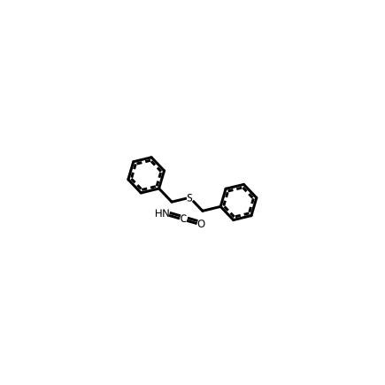 N=C=O.c1ccc(CSCc2ccccc2)cc1